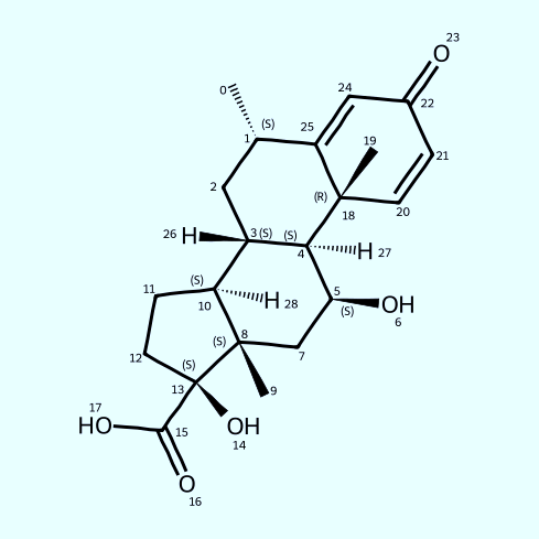 C[C@H]1C[C@@H]2[C@H]([C@@H](O)C[C@@]3(C)[C@H]2CC[C@@]3(O)C(=O)O)[C@@]2(C)C=CC(=O)C=C12